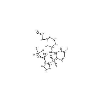 Cc1ccc(S(=O)(=O)N2CCC[C@H]2C(=O)OC(C)(C)C)c(O[C@@H]2CCC[C@H](CC=O)C2)n1